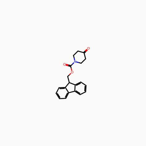 O=C1CCN(C(=O)OCC2c3ccccc3-c3ccccc32)CC1